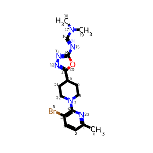 Cc1ccc(Br)c(N2CCC(c3nnc(/N=C/N(C)C)o3)CC2)n1